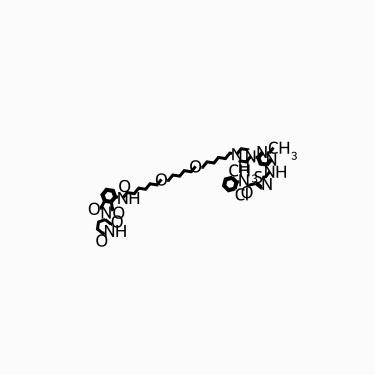 Cc1nc(Nc2ncc(C(=O)Nc3c(C)cccc3Cl)s2)cc(N2CCN(CCCCCCOCCCCCOCCCCCC(=O)Nc3cccc4c3C(=O)N(C3CCC(=O)NC3=O)C4=O)CC2)n1